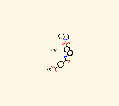 COC(=O)c1ccc(C(=O)Nc2cccc3cc(S(=O)(=O)N4CCCC5CCCC4C5)ccc23)cc1.[CH2]